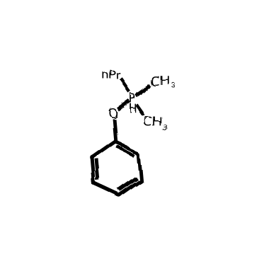 CCC[PH](C)(C)Oc1ccccc1